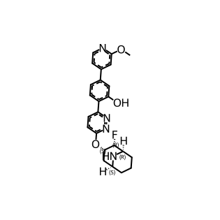 COc1cc(-c2ccc(-c3ccc(O[C@H]4C[C@@H]5CCC[C@@H](N5)[C@H]4F)nn3)c(O)c2)ccn1